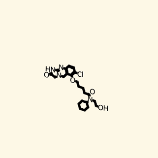 O=C1CN2Cc3c(ccc(Cl)c3OCCCCC(=O)N(CCO)C3CCCCC3)N=C2N1